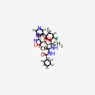 Cc1noc(C)c1C(O)CC(C)(NC(=S)NC(=O)c1ccccc1)c1cc(-c2cncnc2)c(F)cc1F